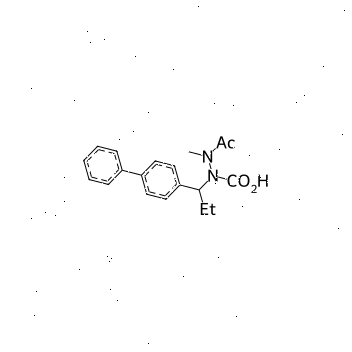 CCC(c1ccc(-c2ccccc2)cc1)N(C(=O)O)N(C)C(C)=O